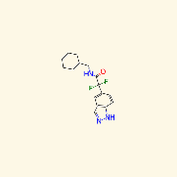 O=C(NCC1CCCCC1)C(F)(F)c1ccc2[nH]ncc2c1